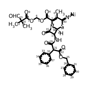 CC1=C(C(=O)OCOC(=O)C(C)(C)C=O)N2C(=O)C(NC(=O)C(C(=O)OCc3ccccc3)c3ccccc3)[C@@H]2SC1=[N+]=[N-]